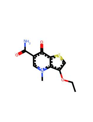 CCOc1csc2c(=O)c(C(N)=O)cn(C)c12